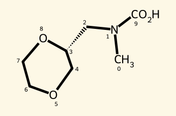 CN(C[C@@H]1COCCO1)C(=O)O